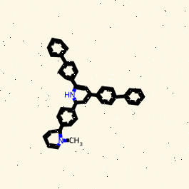 CN1C=CC=CC1c1ccc(C2C=C(c3ccc(-c4ccccc4)cc3)C=C(c3ccc(-c4ccccc4)cc3)N2)cc1